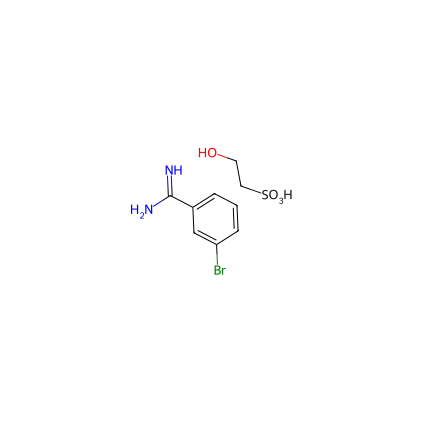 N=C(N)c1cccc(Br)c1.O=S(=O)(O)CCO